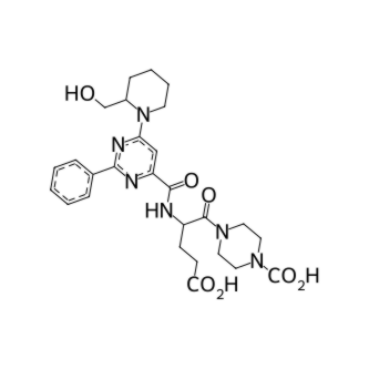 O=C(O)CCC(NC(=O)c1cc(N2CCCCC2CO)nc(-c2ccccc2)n1)C(=O)N1CCN(C(=O)O)CC1